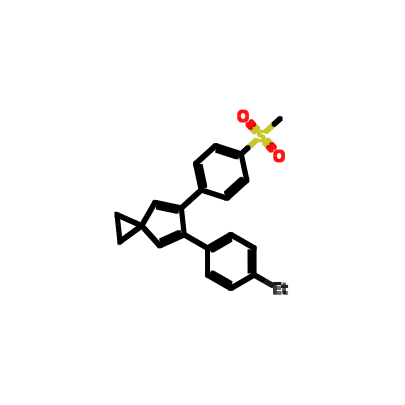 CCc1ccc(C2=CC3(C=C2c2ccc(S(C)(=O)=O)cc2)CC3)cc1